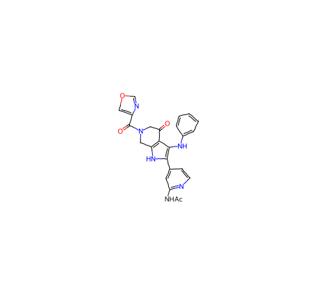 CC(=O)Nc1cc(-c2[nH]c3c(c2Nc2ccccc2)C(=O)CN(C(=O)c2cocn2)C3)ccn1